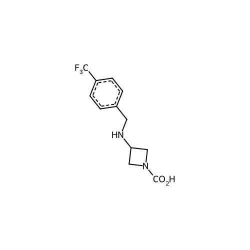 O=C(O)N1CC(NCc2ccc(C(F)(F)F)cc2)C1